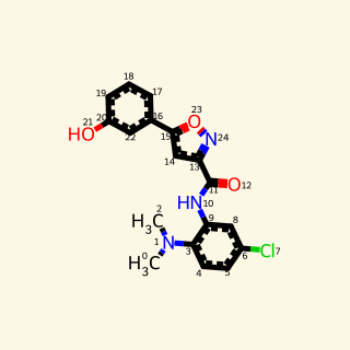 CN(C)c1ccc(Cl)cc1NC(=O)c1cc(-c2cccc(O)c2)on1